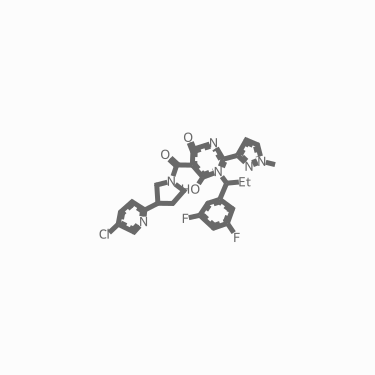 CCC(c1cc(F)cc(F)c1)n1c(-c2ccn(C)n2)nc(=O)c(C(=O)N2CCC(c3ccc(Cl)cn3)C2)c1O